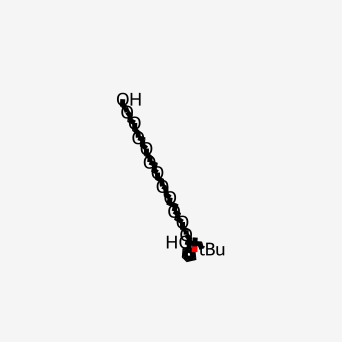 CC(C)(C)CC(C)(C)C(O)(COCCOCCOCCOCCOCCOCCOCCOCCOCCOCCOCCO)c1ccccc1